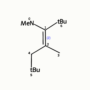 CN/C(=C(/C)CC(C)(C)C)C(C)(C)C